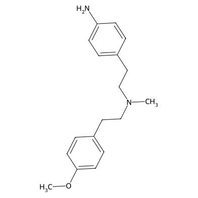 COc1ccc(CCN(C)CCc2ccc(N)cc2)cc1